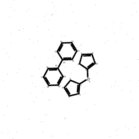 C1=CC[C]([Zr][C]2=CC=CC2)=C1.c1ccc(-c2ccccc2)cc1